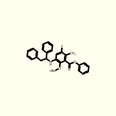 CCCCOc1c(NC(Cc2ccccc2)c2ccccc2)cc(F)c(C)c1C(=O)Oc1ccccc1